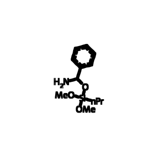 CCC[Si](OC)(OC)OC(N)c1ccccc1